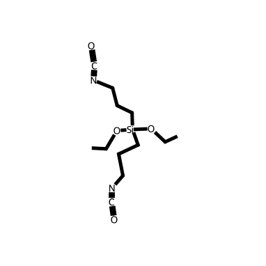 CCO[Si](CCCN=C=O)(CCCN=C=O)OCC